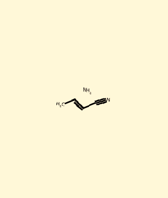 CC=CC#N.N